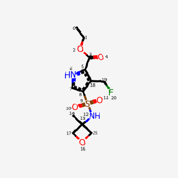 CCOC(=O)c1[nH]cc(S(=O)(=O)NC2(C)COC2)c1CF